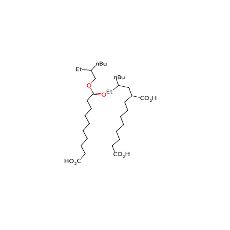 CCCCC(CC)CC(CCCCCCCC(=O)O)C(=O)O.CCCCC(CC)COC(=O)CCCCCCCCC(=O)O